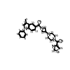 Cc1cn(-c2ccccc2)c2ccc(C(=O)N3CC(N4CCN(C(=O)c5cscn5)CC4)C3)cc12